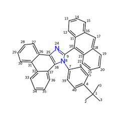 CC(C)(C)c1ccc(-n2c(-c3c4ccccc4cc4ccccc34)nc3c4ccccc4c4ccccc4c32)cc1